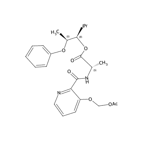 CC(=O)OCOc1cccnc1C(=O)N[C@@H](C)C(=O)O[C@H](C(C)C)[C@H](C)Oc1ccccc1